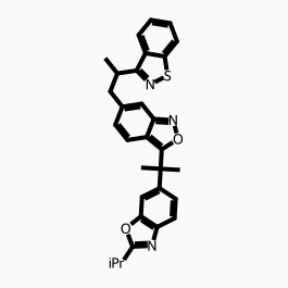 CC(C)c1nc2ccc(C(C)(C)c3onc4cc(CC(C)c5nsc6ccccc56)ccc34)cc2o1